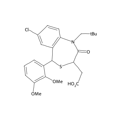 COc1cccc(C2SC(CC(=O)O)C(=O)N(CC(C)(C)C)c3ccc(Cl)cc32)c1OC